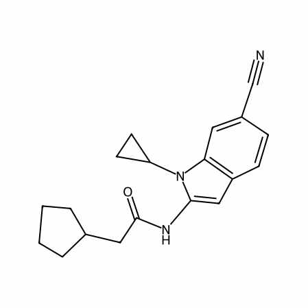 N#Cc1ccc2cc(NC(=O)CC3CCCC3)n(C3CC3)c2c1